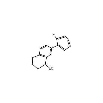 CCC1CCCc2ccc(-c3ccccc3F)cc21